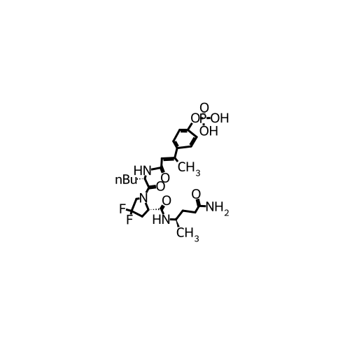 CCCC[C@H](NC(=O)/C=C(\C)c1ccc(OP(=O)(O)O)cc1)C(=O)N1CC(F)(F)C[C@H]1C(=O)N[C@H](C)CCC(N)=O